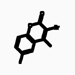 Cc1ccc2oc(=O)c(Br)c(C)c2c1